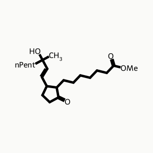 CCCCCC(C)(O)C=CC1CCC(=O)C1CCCCCCC(=O)OC